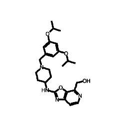 CC(C)Oc1cc(CN2CCC(Nc3nc4ccnc(CO)c4o3)CC2)cc(OC(C)C)c1